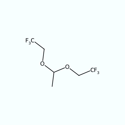 CC(OCC(F)(F)F)OCC(F)(F)F